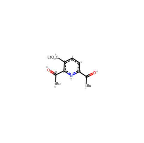 CCOC(=O)c1ccc(C(=O)C(C)(C)C)nc1C(=O)C(C)(C)C